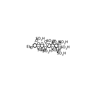 CCO[C@@H]1C[C@H](COS(=O)(=O)O)[C@@H](O[C@@H]2C[C@@H](OS(=O)(=O)O)[C@H](O[C@@H]3C[C@@H](OS(=O)(=O)O)[C@H](N([C@H]4C=C(COS(=O)(=O)O)C(OS(=O)(=O)O)[C@H](OS(=O)(=O)O)C4)S(=O)(=O)O)[C@@H](C)O3)[C@@H](COS(=O)(=O)O)O2)[C@H](OS(=O)(=O)O)C1